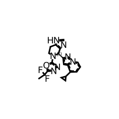 CC(F)(F)c1nnc(N2CCc3[nH]cnc3[C@H]2c2cc3c(C4CC4)cccn3n2)o1